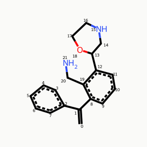 C=C(c1ccccc1)c1cccc(C2CNCCO2)c1CN